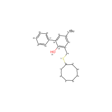 CC(C)(C)c1cc(CSC2CCCCCCC2)c(O)c(-c2ccccc2)c1